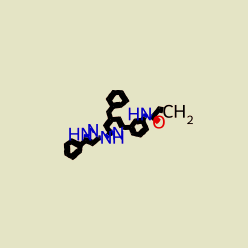 C=CC(=O)Nc1cccc(-c2cc(Cc3ccccc3)cc(Nc3cc(-c4ccccc4)[nH]n3)n2)c1